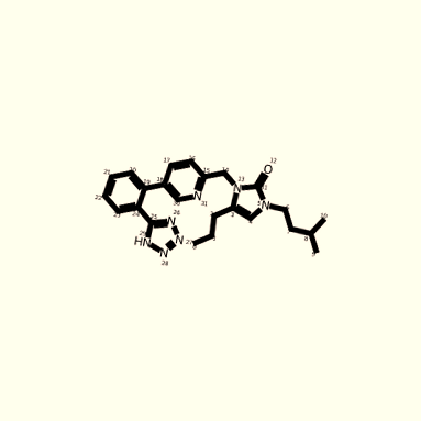 CCCc1cn(CCC(C)C)c(=O)n1Cc1ccc(-c2ccccc2-c2nnn[nH]2)cn1